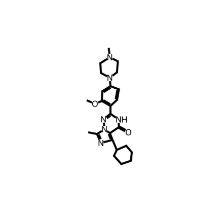 COc1cc(N2CCN(C)CC2)ccc1-c1nn2c(C)nc(C3CCCCC3)c2c(=O)[nH]1